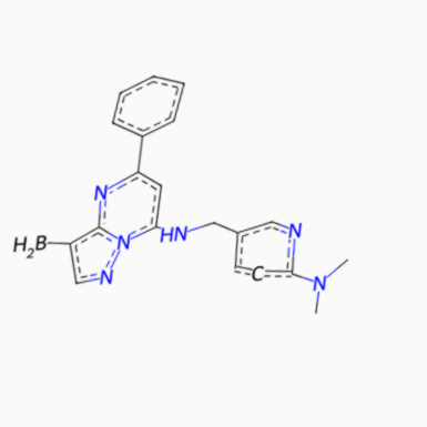 Bc1cnn2c(NCc3ccc(N(C)C)nc3)cc(-c3ccccc3)nc12